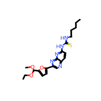 CCCCCNC(=S)Nc1ccc2ncc(-c3ccc(C(OC)OCC)o3)nc2n1